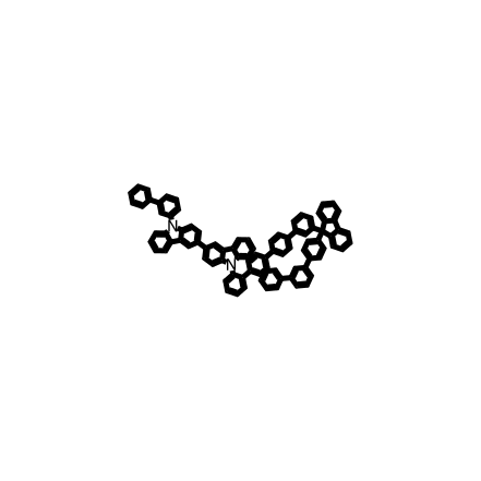 c1ccc(-c2cccc(-c3ccc(C4(c5cccc(-c6ccc(-c7ccc(-c8ccccc8-n8c9ccccc9c9cc(-c%10ccc%11c(c%10)c%10ccccc%10n%11-c%10cccc(-c%11ccccc%11)c%10)ccc98)cc7)cc6)c5)c5ccccc5-c5ccccc54)cc3)c2)cc1